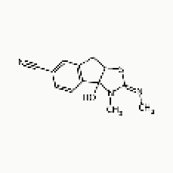 CN=C1SC2Cc3cc(C#N)ccc3C2(O)N1C